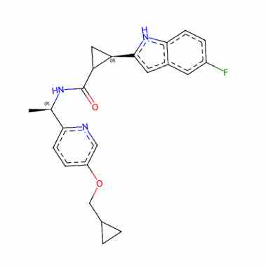 C[C@@H](NC(=O)C1C[C@H]1c1cc2cc(F)ccc2[nH]1)c1ccc(OCC2CC2)cn1